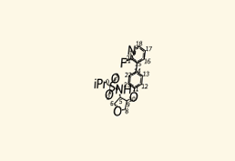 CC(C)S(=O)(=O)N[C@@H]1COCC1Oc1ccc(-c2cccnc2F)cc1